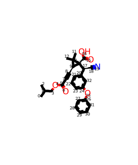 CC(C)COC(=O)C#C[C@H]1C(C)(C)[C@]1(C(=O)O)[C@@H](C#N)c1cccc(Oc2ccccc2)c1